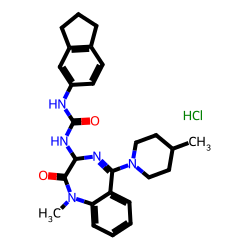 CC1CCN(C2=NC(NC(=O)Nc3ccc4c(c3)CCC4)C(=O)N(C)c3ccccc32)CC1.Cl